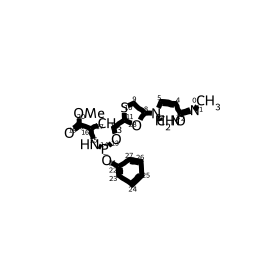 C/N=C(N)\C=C/N(C=O)C1CSC(COP(NC(C)C(=O)OC)Oc2ccccc2)O1